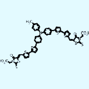 Cc1ccc(N(c2ccc(-c3ccc(-c4ccc(/C=C5\SC(=S)N(CC(=O)O)C5=O)s4)s3)cc2)c2ccc(-c3ccc(-c4ccc(/C=C5/SC(=S)N(CC(=O)O)C5=O)s4)s3)cc2)cc1